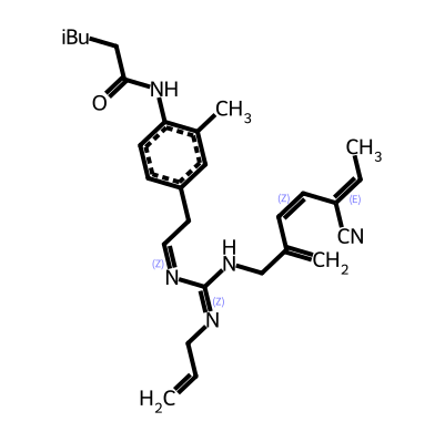 C=CC/N=C(\N=C/Cc1ccc(NC(=O)CC(C)CC)c(C)c1)NCC(=C)/C=C\C(C#N)=C/C